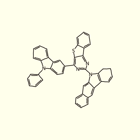 C1=Cc2c(n(-c3nc(-c4ccc5c(c4)c4ccccc4n5-c4ccccc4)c4sc5ccccc5c4n3)c3cc4ccccc4cc23)CC1